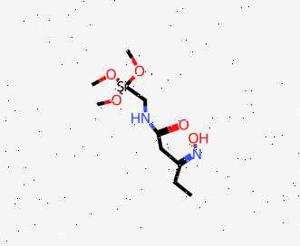 CCC(CC(=O)NC[Si](OC)(OC)OC)=NO